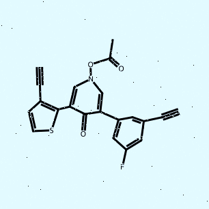 C#Cc1cc(F)cc(-c2cn(OC(C)=O)cc(-c3sccc3C#C)c2=O)c1